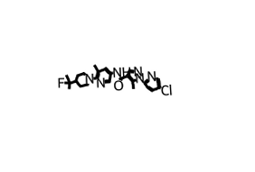 Cc1cc(NC(=O)c2cnn(-c3ccc(Cl)cn3)c2C)cnc1N1CCC(C(C)(C)F)CC1